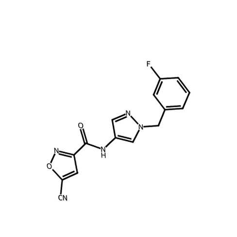 N#Cc1cc(C(=O)Nc2cnn(Cc3cccc(F)c3)c2)no1